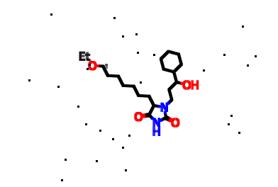 CCO[C]CCCCCCC1C(=O)NC(=O)N1CCC(O)C1CCCCC1